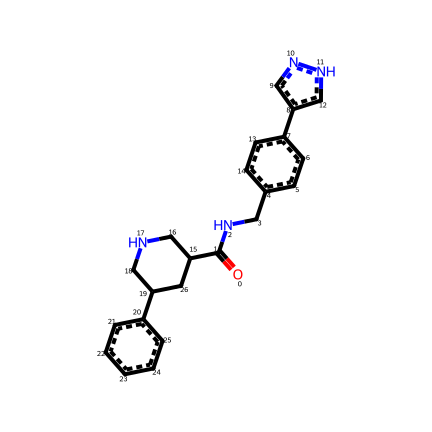 O=C(NCc1ccc(-c2cn[nH]c2)cc1)C1CNCC(c2ccccc2)C1